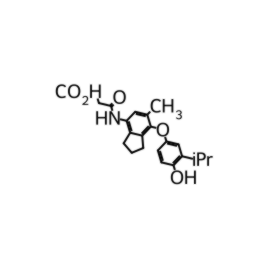 Cc1cc(NC(=O)CC(=O)O)c2c(c1Oc1ccc(O)c(C(C)C)c1)CCC2